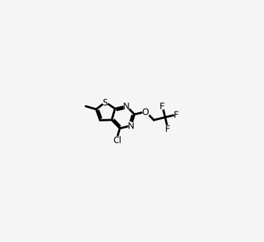 Cc1cc2c(Cl)nc(OCC(F)(F)F)nc2s1